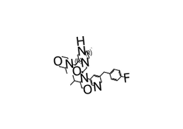 CC(C)C1COc2ncc(Cc3ccc(F)cc3)cc2N1C(=O)CN1C[C@@H](C)NC[C@@H]1CN1CCOCC1C